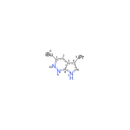 CCC(C)c1cc2c(C(C)C)c[nH]c2nn1